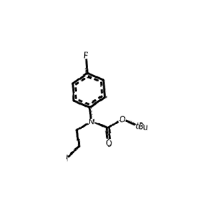 CC(C)(C)OC(=O)N(CCI)c1ccc(F)cc1